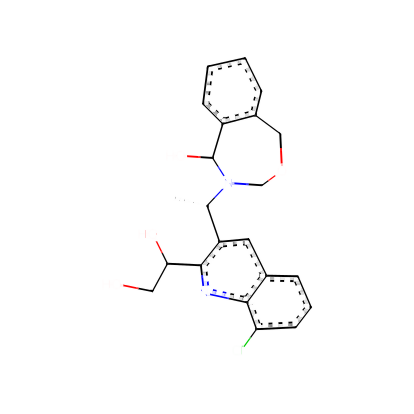 C[C@@H](c1cc2cccc(Cl)c2nc1C(O)CO)N1COCc2ccccc2C1O